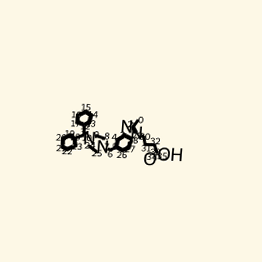 Cc1nc2cc(CN3CCN(C(c4ccccc4)c4ccccc4)CC3)ccc2n1CCCC(=O)O